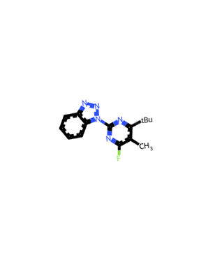 Cc1c(F)nc(-n2nnc3ccccc32)nc1C(C)(C)C